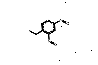 CCc1ccc(N=O)cc1N=O